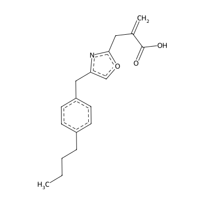 C=C(Cc1nc(Cc2ccc(CCCC)cc2)co1)C(=O)O